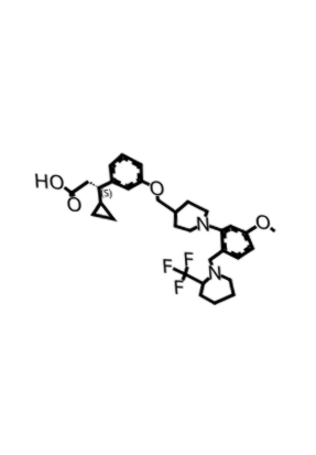 COc1ccc(CN2CCCCC2C(F)(F)F)c(N2CCC(COc3cccc([C@@H](CC(=O)O)C4CC4)c3)CC2)c1